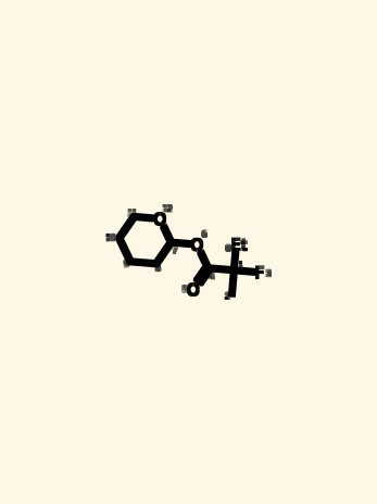 CCC(C)(F)C(=O)OC1CCCCO1